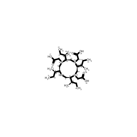 CC[C@@H](C)[C@H]1CN[C@@H]([C@H](C)CC)CN(CC(=O)O)[C@@H]([C@H](C)CC)CN(CC(=O)O)[C@@H]([C@H](C)CC)CN1CC(=O)O